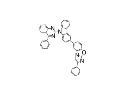 c1ccc(-c2cn3c(n2)oc2ccc(-c4ccc5c(c4)c4ccccc4n5-c4nc(-c5ccccc5)c5ccccc5n4)cc23)cc1